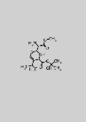 COC(=O)C(N)C1NC(C(=O)OC(C)(C)C)C(C(C)C)=CS1